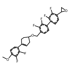 COc1ccc(C2=CCC(OCc3ccc(-c4ccc(C5CO5)c(F)c4F)c(F)c3F)CC2)c(F)c1F